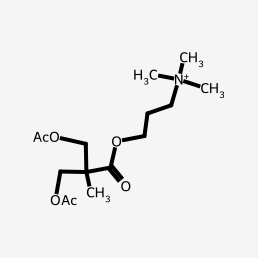 CC(=O)OCC(C)(COC(C)=O)C(=O)OCCC[N+](C)(C)C